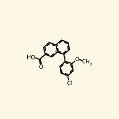 COc1cc(Cl)ccc1-c1cccc2ccc(C(=O)O)cc12